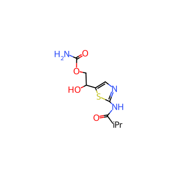 CC(C)C(=O)Nc1ncc(C(O)COC(N)=O)s1